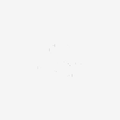 C=C(CC)C(=O)ON(C)C.CCl